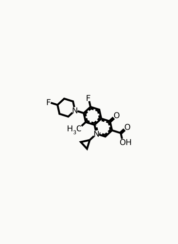 Cc1c(N2CCC(F)CC2)c(F)cc2c(=O)c(C(=O)O)cn(C3CC3)c12